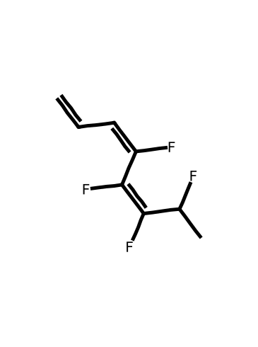 C=C/C=C(F)\C(F)=C(\F)C(C)F